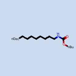 CCCCCCCCCCCCCCCCCCNC(=O)OCCCC